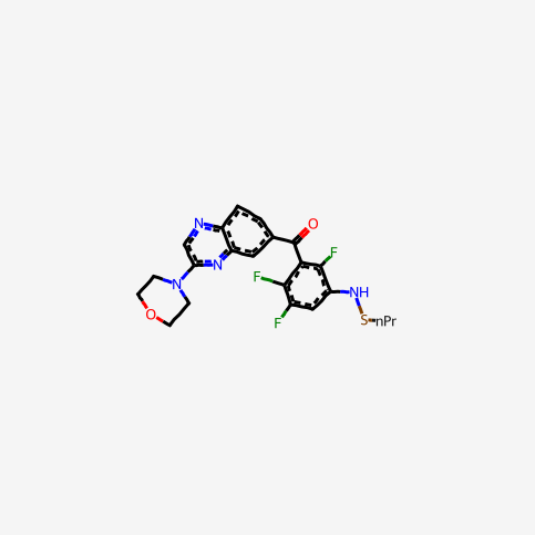 CCCSNc1cc(F)c(F)c(C(=O)c2ccc3ncc(N4CCOCC4)nc3c2)c1F